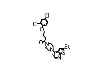 CCc1cc2c(N3CCN(C(=O)CCCOc4ccc(Cl)cc4Cl)CC3)ncnc2s1